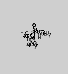 Cc1cc(O)cc(C)c1C[C@H](NC(=O)[C@@H](CCCn1ccnc1N)NC(=O)OC(C)(C)C)C(=O)N[C@@H](CCNC(=O)OC(C)(C)C)c1nc(Cc2ccccc2)no1